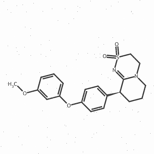 COc1cccc(Oc2ccc([C@@H]3CCCN4CCS(=O)(=O)N=C34)cc2)c1